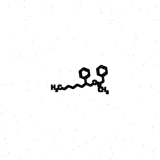 CCCCCCC(CON(C)Cc1ccccc1)c1ccccc1